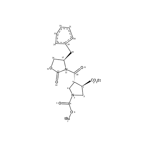 CCOC(=O)[C@H]1CN(C(=O)OC(C)(C)C)C[C@@H]1C(=O)N1C(=O)OC[C@H]1Cc1ccccc1